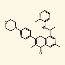 CC1=C(c2ccc(N3CCOCC3)nc2)Cc2c(cc(C)cc2C(C)Nc2ccccc2C)C1=O